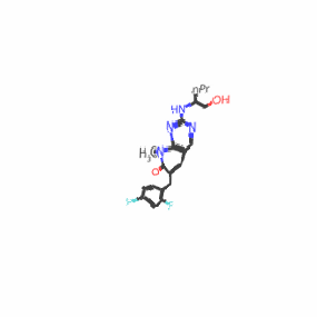 CCCC(CO)Nc1ncc2cc(Cc3ccc(F)cc3F)c(=O)n(C)c2n1